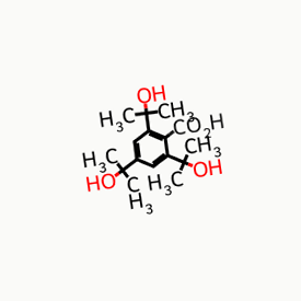 CC(C)(O)c1cc(C(C)(C)O)c(C(=O)O)c(C(C)(C)O)c1